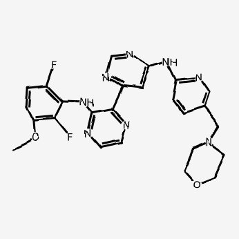 COc1ccc(F)c(Nc2nccnc2-c2cc(Nc3ccc(CN4CCOCC4)cn3)ncn2)c1F